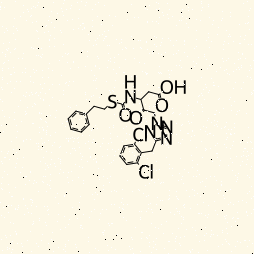 O=C(O)CC(NC(=O)SCCc1ccccc1)C(=O)Cn1nnc(Cc2c(Cl)cccc2Cl)n1